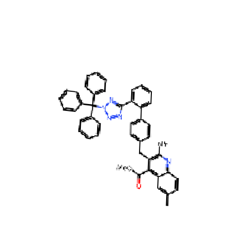 CCCc1nc2ccc(C)cc2c(C(=O)OC)c1Cc1ccc(-c2ccccc2-c2nnn(C(c3ccccc3)(c3ccccc3)c3ccccc3)n2)cc1